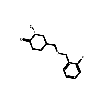 CC[C@@H]1CC(COCc2ccccc2F)CCC1=O